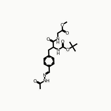 COC(=O)CNC(=O)C(Cc1ccc(/C=N/NC(C)=O)cc1)NC(=O)OC(C)(C)C